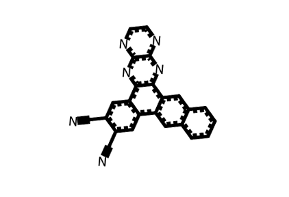 N#Cc1cc2c3cc4ccccc4cc3c3nc4nccnc4nc3c2cc1C#N